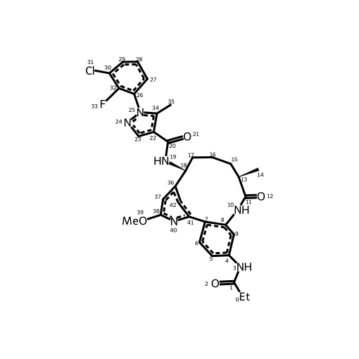 CCC(=O)Nc1ccc2c(c1)NC(=O)[C@H](C)CCC[C@H](NC(=O)c1cnn(-c3cccc(Cl)c3F)c1C)c1cc(OC)nc-2c1